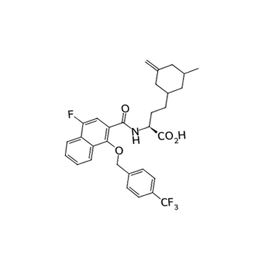 C=C1CC(C)CC(CC[C@H](NC(=O)c2cc(F)c3ccccc3c2OCc2ccc(C(F)(F)F)cc2)C(=O)O)C1